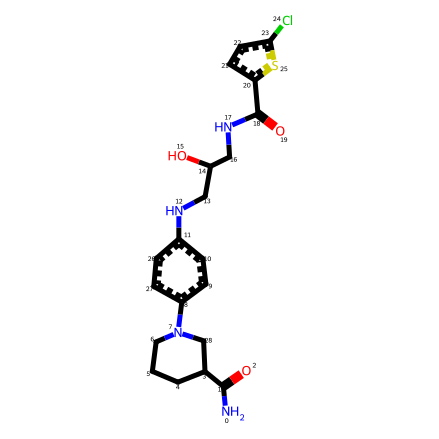 NC(=O)C1CCCN(c2ccc(NCC(O)CNC(=O)c3ccc(Cl)s3)cc2)C1